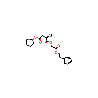 C=C(CC(=O)OC1CCCCC1)C(=O)OCC(=O)OCCc1ccccc1